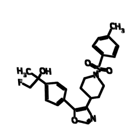 Cc1ccc(S(=O)(=O)N2CCC(c3ncoc3-c3ccc(C(C)(O)CF)cc3)CC2)cc1